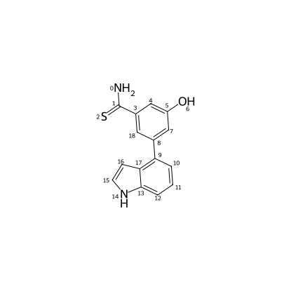 NC(=S)c1cc(O)cc(-c2cccc3[nH]ccc23)c1